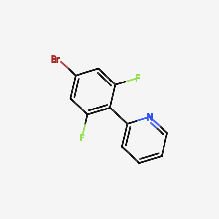 Fc1cc(Br)cc(F)c1-c1ccccn1